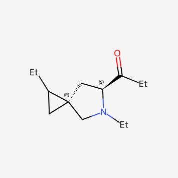 CCC(=O)[C@@H]1C[C@@]2(CC2CC)CN1CC